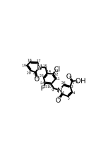 O=C(O)c1ccc(=O)n(Cc2cc(Cl)c(Cn3ccccc3=O)cc2F)c1